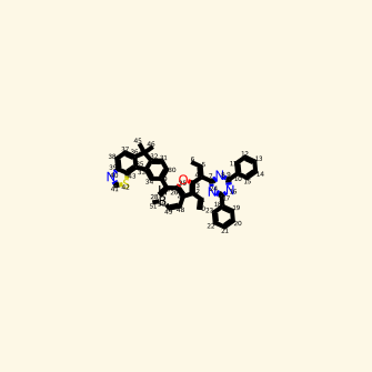 C=Cc1c(/C(=C\C)c2nc(-c3ccccc3)nc(-c3ccccc3)n2)oc(C(=C)c2ccc3c(c2)-c2c(ccc4ncsc24)C3(C)C)c1/C=C\BC